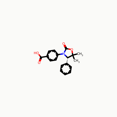 CC1(C)OC(=O)N(c2ccc(C(=O)O)cc2)[C@H]1c1ccccc1